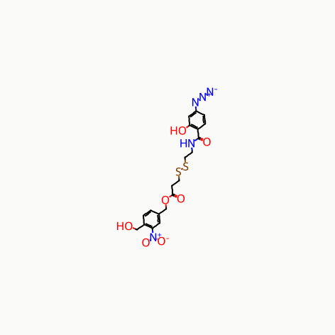 [N-]=[N+]=Nc1ccc(C(=O)NCCSSCCC(=O)OCc2ccc(CO)c([N+](=O)[O-])c2)c(O)c1